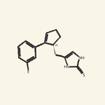 Fc1cccc(C2=CCC[C@@H]2Cc2c[nH]c(=S)[nH]2)c1